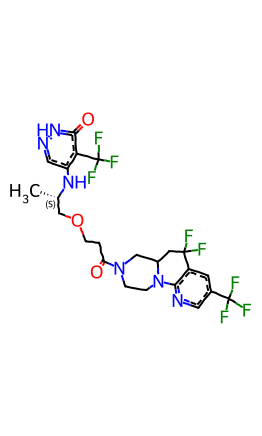 C[C@@H](COCCC(=O)N1CCN2c3ncc(C(F)(F)F)cc3C(F)(F)CC2C1)Nc1cn[nH]c(=O)c1C(F)(F)F